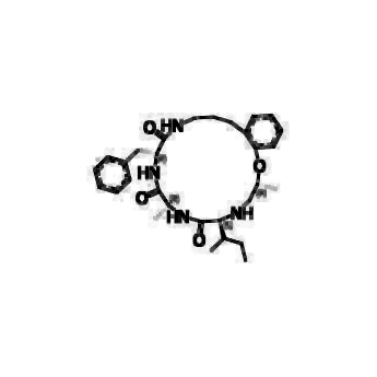 CCC(C)[C@@H]1NC[C@@H](C)Oc2ccccc2CCCNC(=O)[C@@H](Cc2ccccc2)NC(=O)[C@@H](C)NC1=O